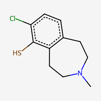 CN1CCc2ccc(Cl)c(S)c2CC1